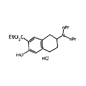 CCCN(CCC)C1CCc2cc(O)c(C(=O)OCC)cc2C1.Cl